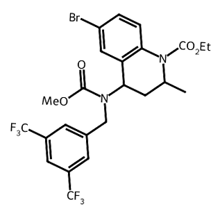 CCOC(=O)N1c2ccc(Br)cc2C(N(Cc2cc(C(F)(F)F)cc(C(F)(F)F)c2)C(=O)OC)CC1C